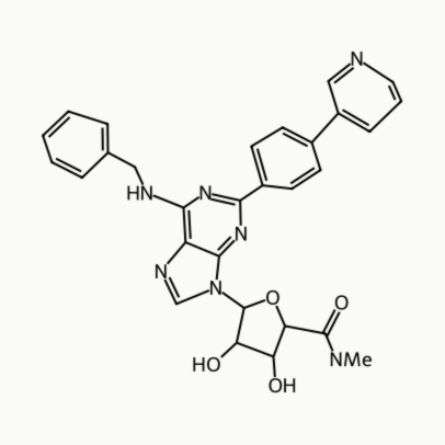 CNC(=O)C1OC(n2cnc3c(NCc4ccccc4)nc(-c4ccc(-c5cccnc5)cc4)nc32)C(O)C1O